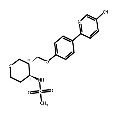 CS(=O)(=O)N[C@H]1CCSC[C@@H]1COc1ccc(-c2ccc(C#N)cn2)cc1